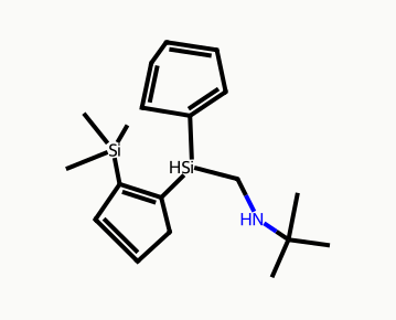 CC(C)(C)NC[SiH](C1=C([Si](C)(C)C)C=CC1)c1ccccc1